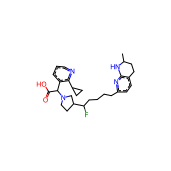 CC1CCc2ccc(CCCCC(F)C3CCN(C(C(=O)O)c4cccnc4C4CC4)C3)nc2N1